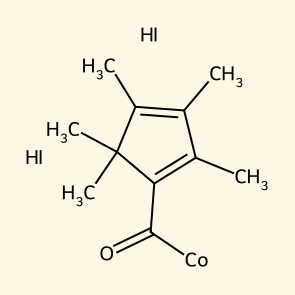 CC1=C(C)C(C)(C)C([C](=O)[Co])=C1C.I.I